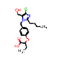 CCCCc1nc(Cl)c(CO)n1Cc1ccc(OC(CC)C(=O)O)cc1